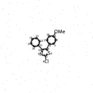 COc1ccc(-c2sc(Cl)nc2-c2ccccc2)cc1